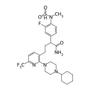 CN(c1ccc(C(CCc2ccc(C(F)(F)F)nc2N2CCN(C3CCCCC3)CC2)C(N)=O)cc1F)[SH](=O)=O